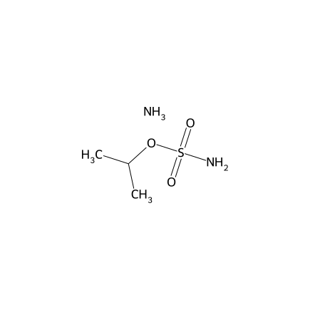 CC(C)OS(N)(=O)=O.N